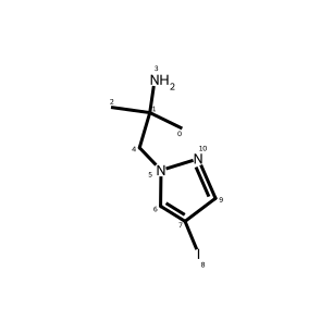 CC(C)(N)Cn1cc(I)cn1